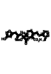 CO[C@@]1(NC(=O)Cc2cc(O)no2)C(=O)N2C(C(=O)O)=C(CSc3nnnn3C)CS[C@@H]21